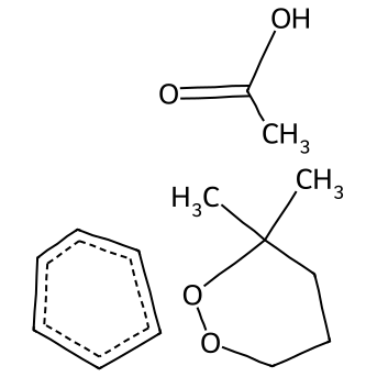 CC(=O)O.CC1(C)CCCOO1.c1ccccc1